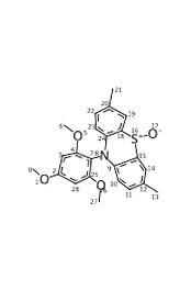 COc1cc(OC)c(N2c3ccc(C)cc3[S+]([O-])c3cc(C)ccc32)c(OC)c1